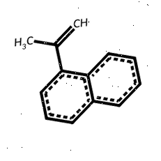 [CH]=C(C)c1cccc2ccccc12